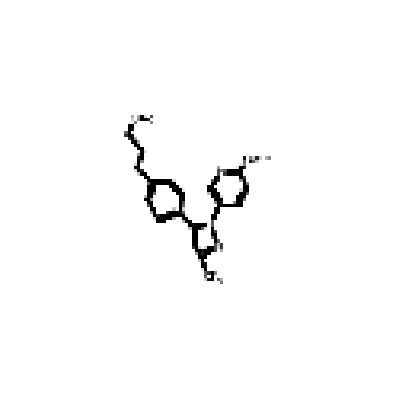 COc1ccc(-n2nc(C(F)(F)F)cc2-c2ccc(CCCOC(C)=O)cc2)cn1